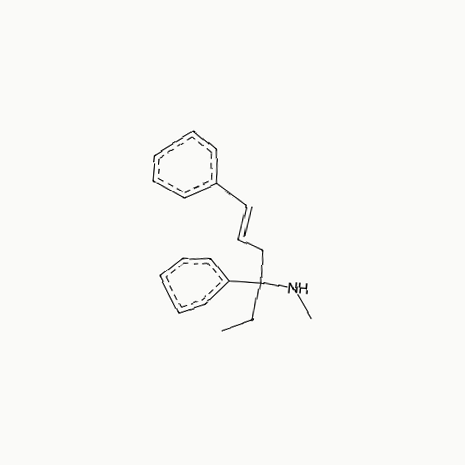 CCC(C/C=C/c1ccccc1)(NC)c1ccccc1